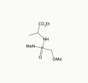 CCOC(=O)C(C)NP(=O)(COC)NC